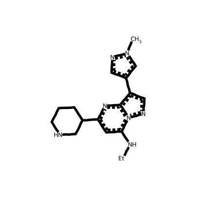 CCNc1cc(C2CCCNC2)nc2c(-c3cnn(C)c3)cnn12